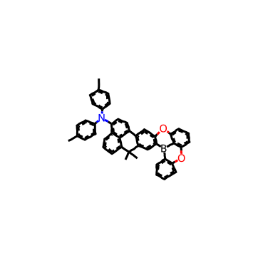 Cc1ccc(N(c2ccc(C)cc2)c2ccc3c4c(cccc24)C(C)(C)c2cc4c(cc2-3)Oc2cccc3c2B4c2ccccc2O3)cc1